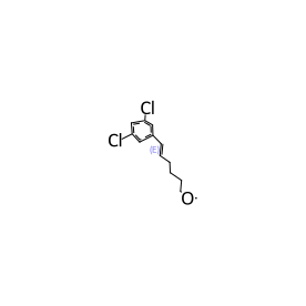 [O]CCCC/C=C/c1cc(Cl)cc(Cl)c1